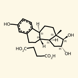 C[C@]12CC[C@@H]3c4ccc(O)cc4CC[C@H]3[C@@H]1C[C@@H](O)[C@@H]2O.O=C(O)CCC(=O)O